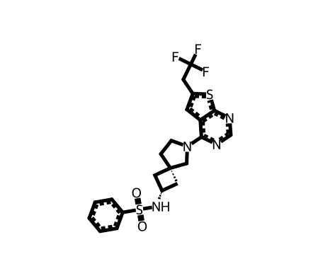 O=S(=O)(N[C@H]1C[C@@]2(CCN(c3ncnc4sc(CC(F)(F)F)cc34)C2)C1)c1ccccc1